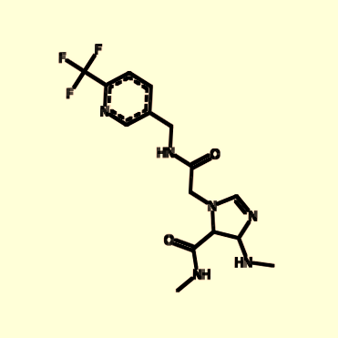 CNC(=O)C1C(NC)N=CN1CC(=O)NCc1ccc(C(F)(F)F)nc1